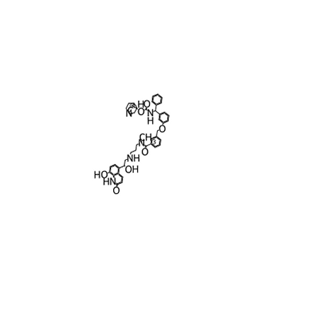 CN(CCCNCC(O)c1ccc(O)c2[nH]c(=O)ccc12)C(=O)c1cccc(COc2cccc(C(NC(=O)O[C@H]3CN4CCC3CC4)c3ccccc3)c2)c1